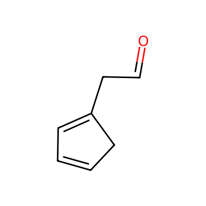 O=CCC1=CC=CC1